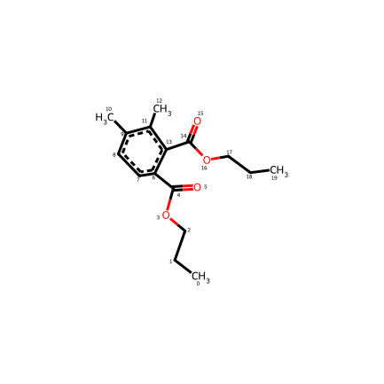 CCCOC(=O)c1ccc(C)c(C)c1C(=O)OCCC